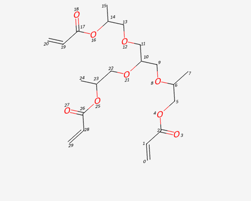 C=CC(=O)OCC(C)OCC(COCC(C)OC(=O)C=C)OCC(C)OC(=O)C=C